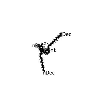 CCCCCCCCCCCCCCCCCCCCCCC#CC(=N/c1ccc(CCC)c(CCC)c1)/C(CCCCC)=N/c1cccc(C#CCCCCCCCCCCCCCCCCCCCCCC)c1.[Ni]